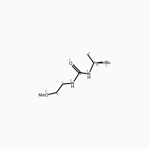 [CH2][C@@H](CCCC)NC(=O)NCCOC